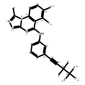 Cc1nnc2nc(Nc3cccc(C#CC(C)(C)C(F)(F)F)c3)c3c(F)c(F)ccc3n12